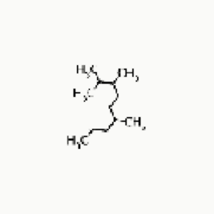 C[CH]CC(C)CCC(C)C(C)C